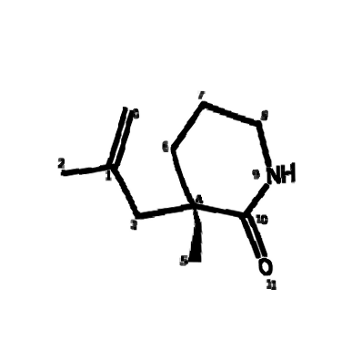 C=C(C)C[C@]1(C)CCCNC1=O